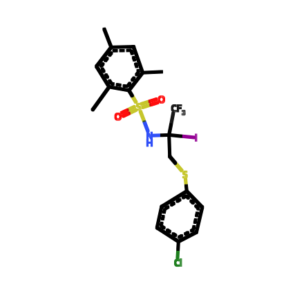 Cc1cc(C)c(S(=O)(=O)NC(I)(CSc2ccc(Cl)cc2)C(F)(F)F)c(C)c1